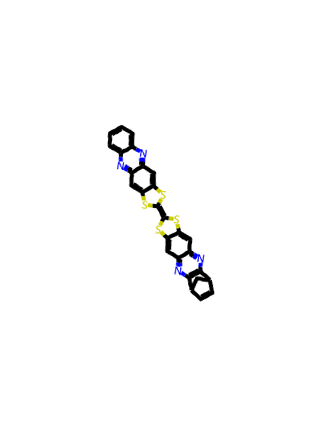 C1=CC2CC1c1nc3cc4c(cc3nc12)SC(=C1Sc2cc3nc5ccccc5nc3cc2S1)S4